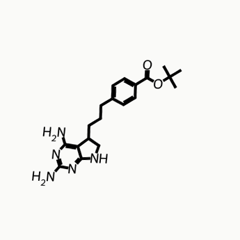 CC(C)(C)OC(=O)c1ccc(CCCC2CNc3nc(N)nc(N)c32)cc1